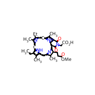 C=Cc1c(C)c2cc3nc(c4c5[nH]c(cc6nc(cc1[nH]2)C(C)=C6CC)c(C)c5C(=O)N(CC(=O)O)C4=O)C(CCC(=O)OC)C3C